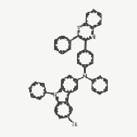 CCc1ccc2c(c1)c1cc(N(c3ccccc3)c3ccc(-c4nc5ccccc5nc4-c4ccccc4)cc3)ccc1n2-c1ccccc1